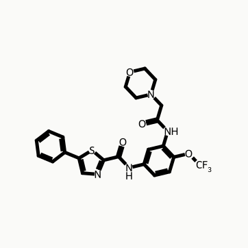 O=C(CN1CCOCC1)Nc1cc(NC(=O)c2ncc(-c3ccccc3)s2)ccc1OC(F)(F)F